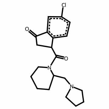 O=C1CC(C(=O)N2CCCCC2CN2CCCC2)c2ccc(Cl)cc21